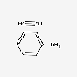 C#C.[SiH4].c1ccccc1